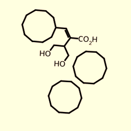 C1CCCCCCCCC1.C1CCCCCCCCC1.O=C(O)C(=CC1CCCCCCCCC1)C(CO)CO